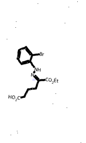 CCOC(=O)/C(CCCC(=O)O)=N\Nc1ccccc1Br